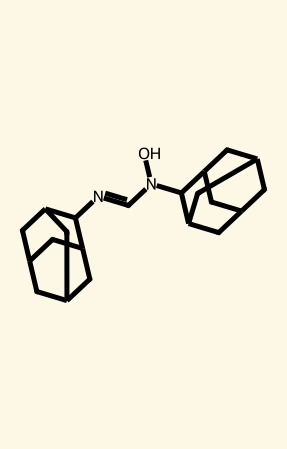 ON(C=NC1C2CC3CC(C2)CC1C3)C1C2CC3CC(C2)CC1C3